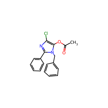 CC(=O)Oc1c(Cl)nc(-c2ccccc2)n1Cc1ccccc1